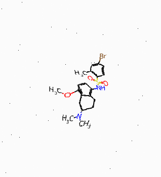 COc1ccc(NS(=O)(=O)c2ccc(Br)cc2C)c2c1C[C@@H](N(C)C)CC2